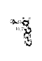 CC1c2cnc(-c3ncccn3)nc2CCN1c1cc(F)c(F)c(OCC2COC2)c1